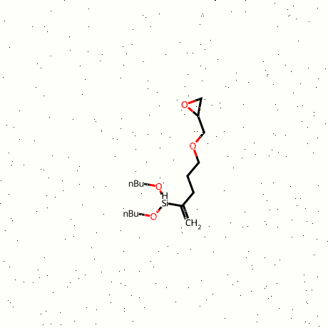 C=C(CCCOCC1CO1)[SiH](OCCCC)OCCCC